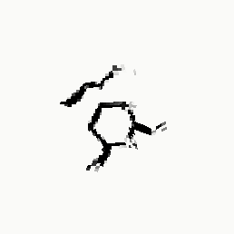 C=CCN.O=c1cc[nH]c(=O)[nH]1